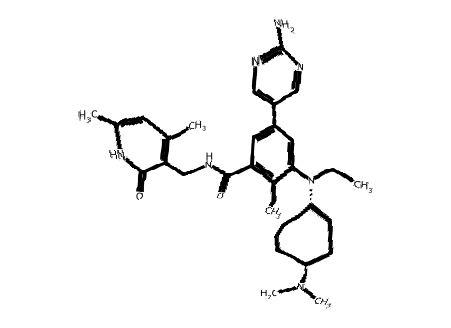 CCN(c1cc(-c2cnc(N)nc2)cc(C(=O)NCc2c(C)cc(C)[nH]c2=O)c1C)[C@H]1CC[C@H](N(C)C)CC1